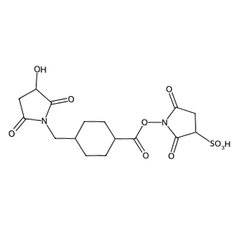 O=C(ON1C(=O)CC(S(=O)(=O)O)C1=O)C1CCC(CN2C(=O)CC(O)C2=O)CC1